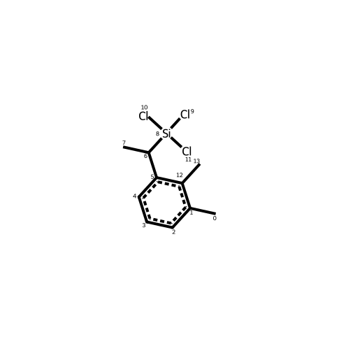 Cc1cccc(C(C)[Si](Cl)(Cl)Cl)c1C